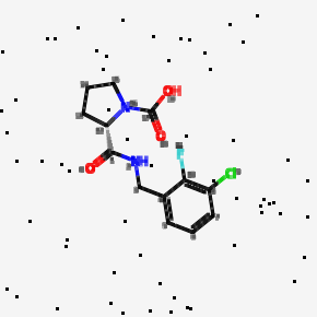 O=C(NCc1cccc(Cl)c1F)[C@@H]1CCCN1C(=O)O